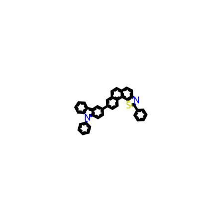 c1ccc(-c2nc3ccc4ccc5cc(-c6ccc7c(c6)c6ccccc6n7-c6ccccc6)ccc5c4c3s2)cc1